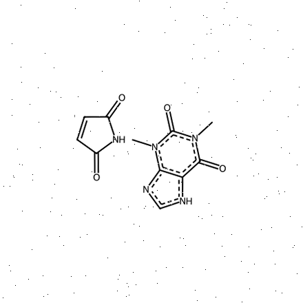 Cn1c(=O)c2[nH]cnc2n(C)c1=O.O=C1C=CC(=O)N1